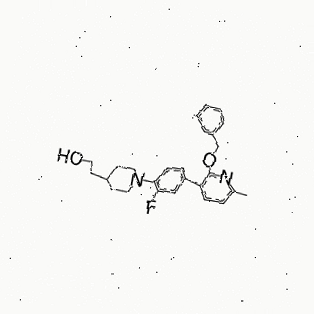 Cc1ccc(-c2ccc(N3CCC(CCO)CC3)c(F)c2)c(OCc2ccccc2)n1